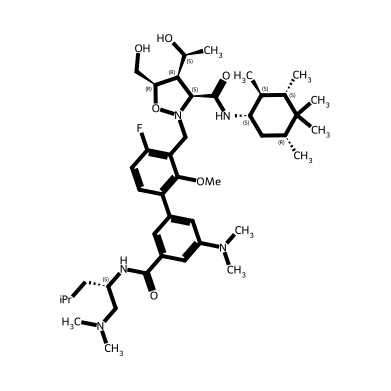 COc1c(-c2cc(C(=O)N[C@@H](CC(C)C)CN(C)C)cc(N(C)C)c2)ccc(F)c1CN1O[C@@H](CO)[C@@H]([C@H](C)O)[C@H]1C(=O)N[C@H]1C[C@@H](C)C(C)(C)[C@@H](C)[C@@H]1C